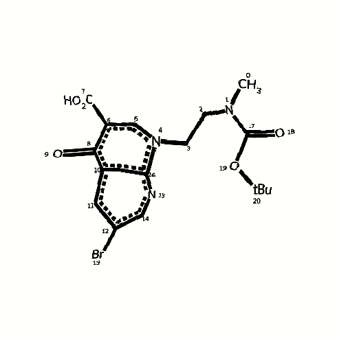 CN(CCn1cc(C(=O)O)c(=O)c2cc(Br)cnc21)C(=O)OC(C)(C)C